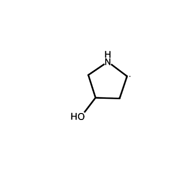 OC1C[CH]NC1